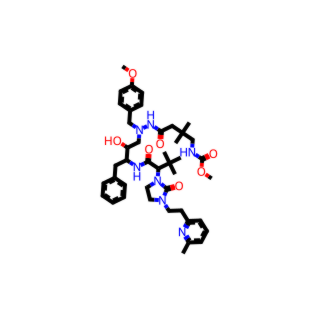 COC(=O)NCC(C)(C)CC(=O)NN(Cc1ccc(OC)cc1)CC(O)C(Cc1ccccc1)NC(=O)C(N1CCN(CCc2cccc(C)n2)C1=O)C(C)(C)C